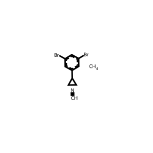 Brc1cc(Br)cc(C2CC2)c1.C.C#N